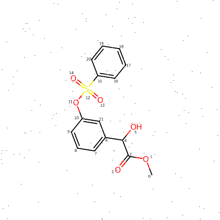 COC(=O)C(O)c1cccc(OS(=O)(=O)c2ccccc2)c1